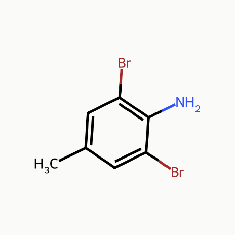 Cc1cc(Br)c(N)c(Br)c1